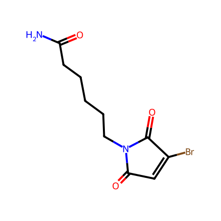 NC(=O)CCCCCN1C(=O)C=C(Br)C1=O